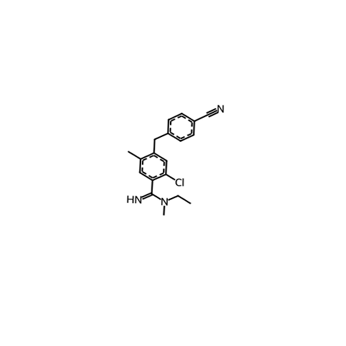 CCN(C)C(=N)c1cc(C)c(Cc2ccc(C#N)cc2)cc1Cl